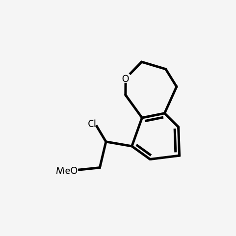 COCC(Cl)c1cccc2c1COCCC2